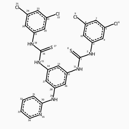 S=C(Nc1cc(Cl)cc(Cl)c1)Nc1cc(NC(=S)Nc2cc(Cl)cc(Cl)c2)cc(Nc2ccccn2)c1